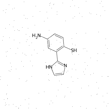 Nc1ccc(S)c(-c2ncc[nH]2)c1